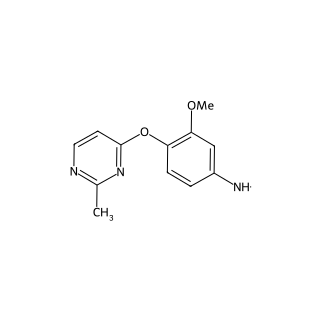 COc1cc([NH])ccc1Oc1ccnc(C)n1